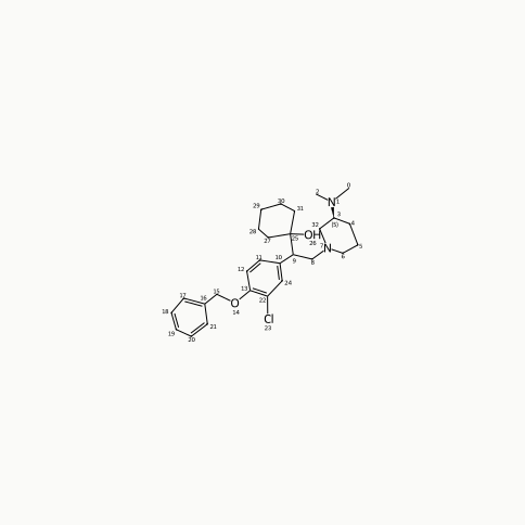 CN(C)[C@H]1CCCN(CC(c2ccc(OCc3ccccc3)c(Cl)c2)C2(O)CCCCC2)C1